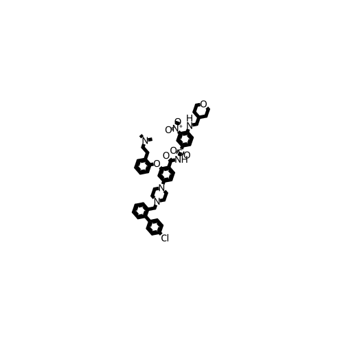 CN(C)CCc1ccccc1Oc1cc(N2CCN(Cc3ccccc3-c3ccc(Cl)cc3)CC2)ccc1C(=O)NS(=O)(=O)c1ccc(NCC2CCOCC2)c([N+](=O)[O-])c1